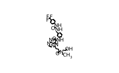 CCN(CCO)C(=O)CCc1nc(C(=O)Nc2cccc(CNC(=O)Nc3ccc(C(F)(F)F)cc3)c2)c2c(N)nccn12